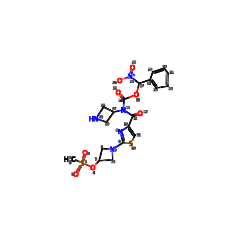 CS(=O)(=O)OC1CN(c2nc(C(=O)N(C(=O)OC(c3ccccc3)[N+](=O)[O-])C3CNC3)cs2)C1